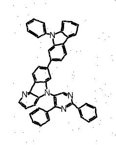 c1ccc(-c2ncc(-n3c4cc(-c5ccc6c7ccccc7n(-c7ccccc7)c6c5)ccc4c4ncccc43)c(-c3ccccc3)n2)cc1